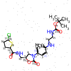 C=C(/C=C\C(=C/C)N1C[C@H](CNC(=O)C2CC[C@@H](Cl)S2)OC1=O)NCCNC(=O)OC(C)(C)C